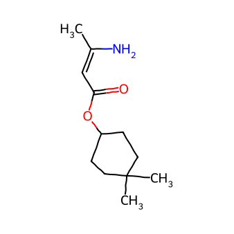 C/C(N)=C/C(=O)OC1CCC(C)(C)CC1